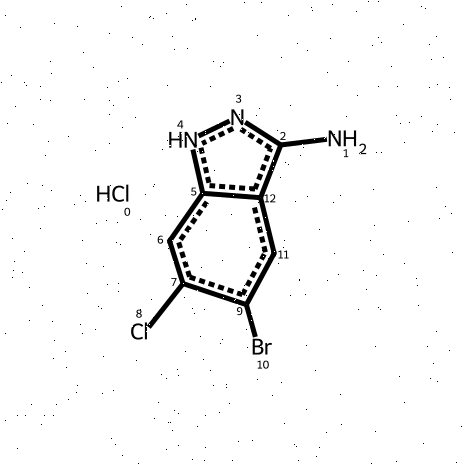 Cl.Nc1n[nH]c2cc(Cl)c(Br)cc12